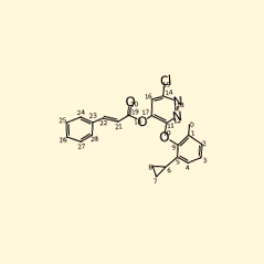 Cc1cccc(C2CC2)c1Oc1nnc(Cl)cc1OC(=O)/C=C/c1ccccc1